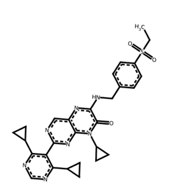 CCS(=O)(=O)c1ccc(CNc2nc3cnc(-c4c(C5CC5)ncnc4C4CC4)nc3n(C3CC3)c2=O)cc1